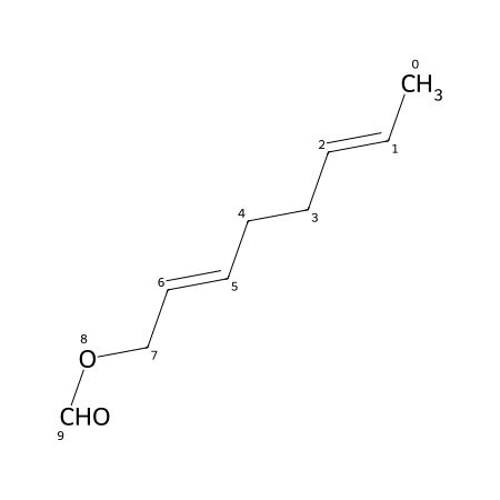 CC=CCCC=CCOC=O